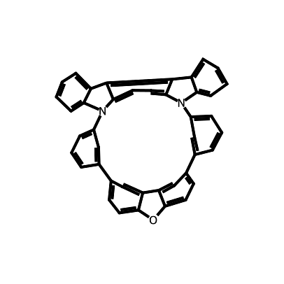 c1ccc2c(c1)c1c3c4ccccc4n4c5cccc(c5)c5ccc6oc7ccc(cc7c6c5)c5cccc(c5)n2c1ccc34